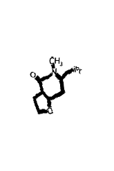 CC(C)C1CC2OCCC2C(=O)N1C